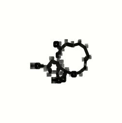 O=C1/C=C/CC/C=C/CCOC(=O)c2c(O)cc(O)cc2C1